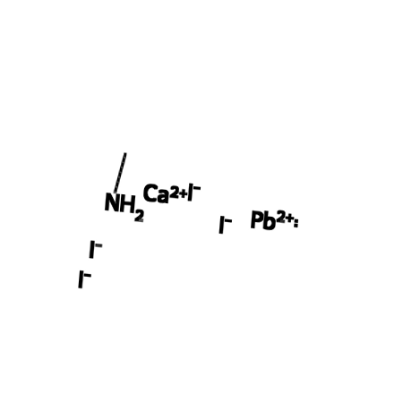 CN.[Ca+2].[I-].[I-].[I-].[I-].[Pb+2]